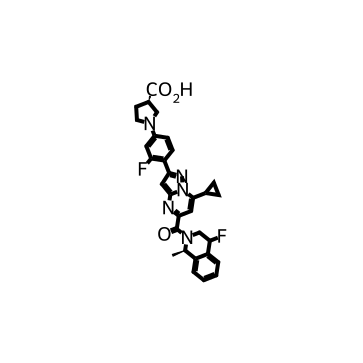 C[C@@H]1c2ccccc2C(F)CN1C(=O)c1cc(C2CC2)n2nc(-c3ccc(N4CC[C@H](C(=O)O)C4)cc3F)cc2n1